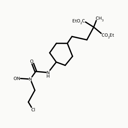 CCOC(=O)C(C)(CCC1CCC(NC(=O)N(CCCl)N=O)CC1)C(=O)OCC